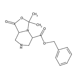 CC1(C)OC(=O)C2CNCC(C(=O)OCc3ccccc3)N21